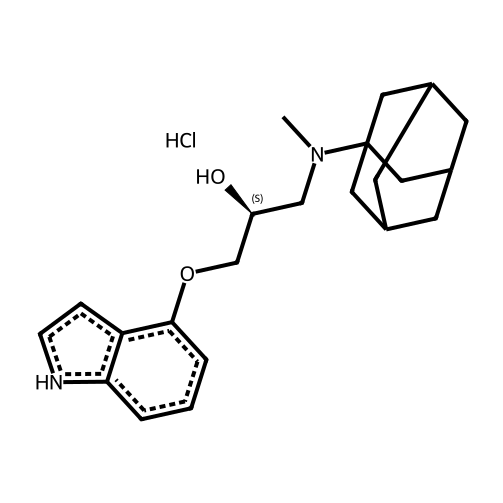 CN(C[C@H](O)COc1cccc2[nH]ccc12)C12CC3CC(CC(C3)C1)C2.Cl